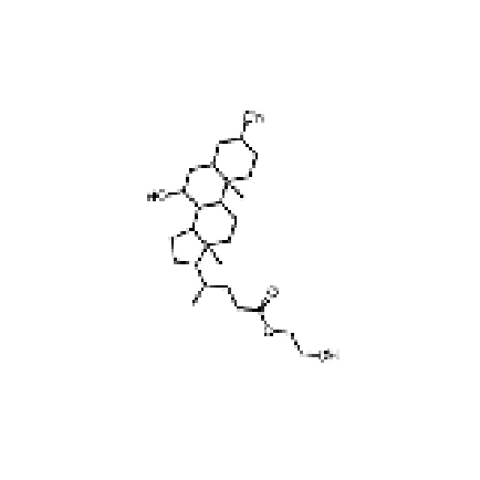 C[C@H](CCC(=O)OCCO)[C@H]1CCC2C3C(CC[C@@]21C)[C@@]1(C)CC[C@H](O)CC1C[C@@H]3O